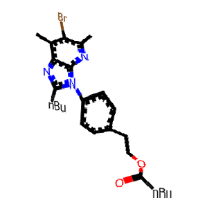 CCCCC(=O)OCCc1ccc(-n2c(CCCC)nc3c(C)c(Br)c(C)nc32)cc1